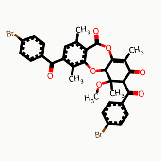 COC1(C)C2Oc3c(C)c(C(=O)c4ccc(Br)cc4)cc(C)c3C(=O)OC2=C(C)C(=O)C1C(=O)c1ccc(Br)cc1